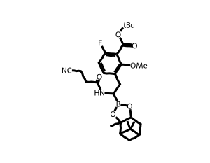 COc1c(CC(NC(=O)CCC#N)B2OC3CC4CC(C4(C)C)C3(C)O2)ccc(F)c1C(=O)OC(C)(C)C